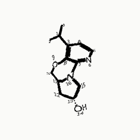 CC(C)c1ccnc2c1OCC1C[C@@H](O)CN21